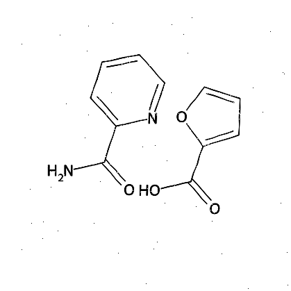 NC(=O)c1ccccn1.O=C(O)c1ccco1